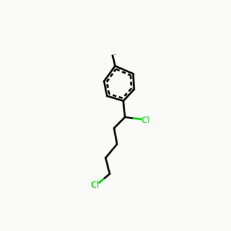 [CH2]c1ccc(C(Cl)CCCCCl)cc1